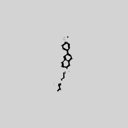 C=CC(=O)OCCCOc1ccc2cc(-c3ccc(SC)cc3)ccc2c1